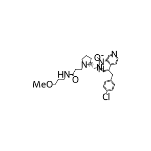 COCCCNC(=O)CCN1CCC[C@@H]1CN1C=C(Cc2ccc(Cl)cc2)c2ccncc2[NH+]1[O-]